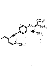 C/C=C(C#Cc1ccc(O/C(NN)=C(/N)C(=O)O)cc1)\C=C/N(C)C=O